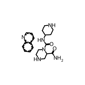 NC(=O)C1CNCCN1C(=O)NC1CCNCC1.c1ccc2ncccc2c1